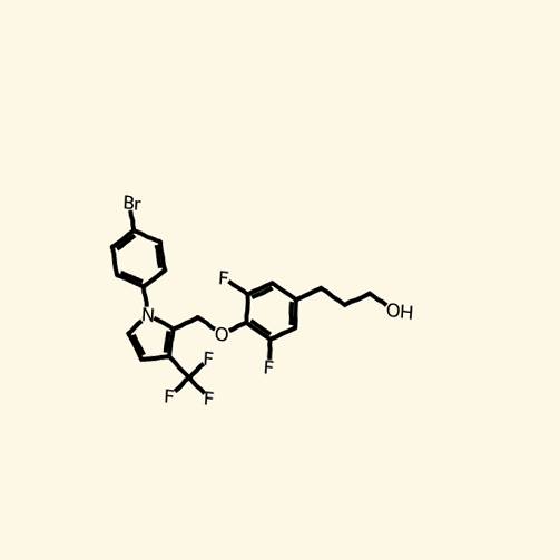 OCCCc1cc(F)c(OCc2c(C(F)(F)F)ccn2-c2ccc(Br)cc2)c(F)c1